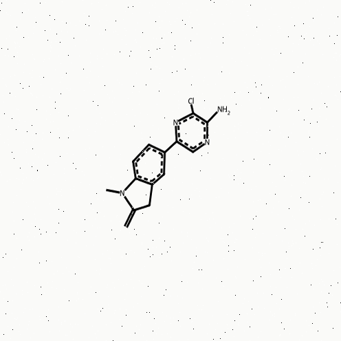 C=C1Cc2cc(-c3cnc(N)c(Cl)n3)ccc2N1C